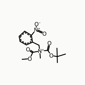 COC(=O)[N+](C)(Cc1ccccc1[N+](=O)[O-])C(=O)OC(C)(C)C